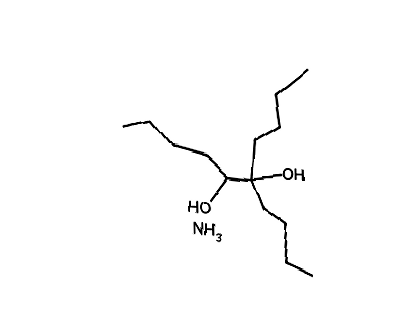 CCCCC(O)C(O)(CCCC)CCCC.N